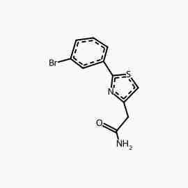 NC(=O)Cc1csc(-c2cccc(Br)c2)n1